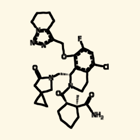 C[C@]1(C(N)=O)CCCC[C@H]1C(=O)N1CCc2c(Cl)cc(F)c(OCc3nnn4c3CCCC4)c2[C@H]1CN1CC2(CC2)CC1=O